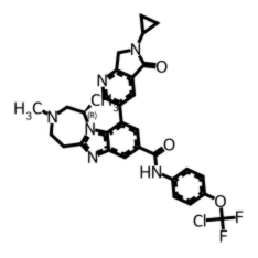 C[C@@H]1CN(C)CCc2nc3cc(C(=O)Nc4ccc(OC(F)(F)Cl)cc4)cc(-c4cnc5c(c4)C(=O)N(C4CC4)C5)c3n21